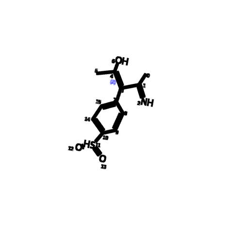 CC(=N)/C(=C(/C)O)c1ccc([SH](=O)=O)cc1